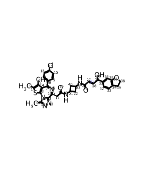 Cc1sc2c(c1C)C(c1ccc(Cl)cc1)=N[C@@H](CC(=O)NC1CC(NC(=O)/C=C/C(O)c3ccc4c(c3)OCC4)C1)c1nnc(C)n1-2